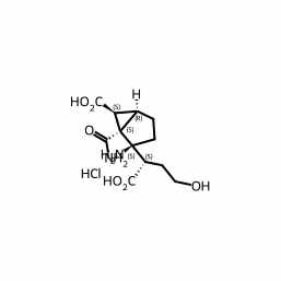 Cl.NC(=O)[C@]12[C@H](CC[C@]1(N)[C@H](CCO)C(=O)O)[C@@H]2C(=O)O